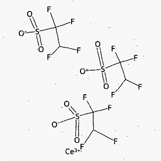 O=S(=O)([O-])C(F)(F)C(F)F.O=S(=O)([O-])C(F)(F)C(F)F.O=S(=O)([O-])C(F)(F)C(F)F.[Ce+3]